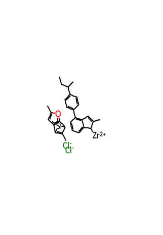 CC1=C2c3cc(C)oc3C1[Si]2(C)C.CCC(C)c1ccc(-c2cccc3c2C=C(C)[CH]3[Zr+2])cc1.[Cl-].[Cl-]